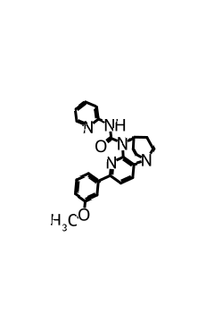 COc1cccc(-c2ccc3c(n2)N(C(=O)Nc2ccccn2)C2CCN3CC2)c1